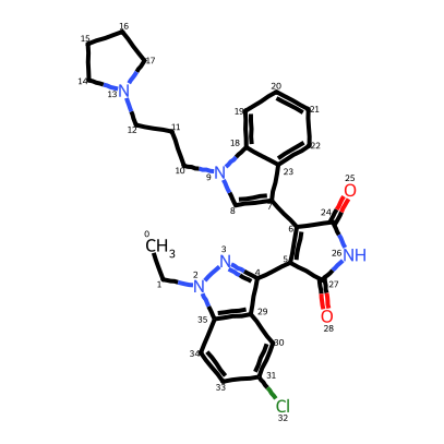 CCn1nc(C2=C(c3cn(CCCN4CCCC4)c4ccccc34)C(=O)NC2=O)c2cc(Cl)ccc21